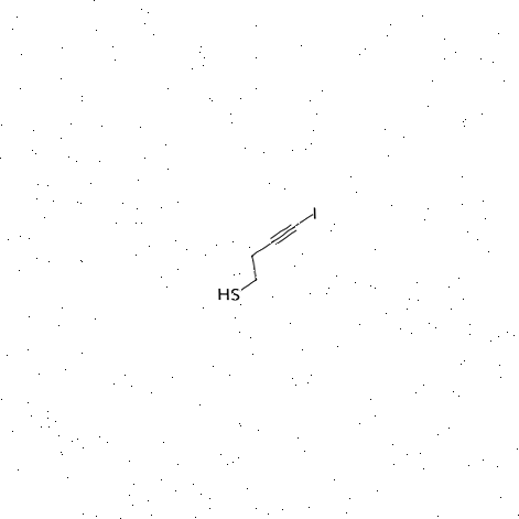 SCCC#CI